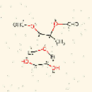 CC(COC=O)OC=O.CCOCC.OCCO